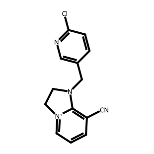 N#Cc1ccc[n+]2c1N(Cc1ccc(Cl)nc1)CC2